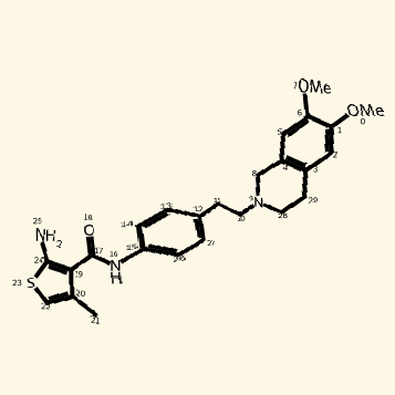 COc1cc2c(cc1OC)CN(CCc1ccc(NC(=O)c3c(C)csc3N)cc1)CC2